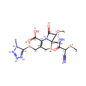 CO[C@]1(NC(=O)C(C#N)SC)C(=O)N2C(C(=O)O)=C(CSc3nnnn3C)CS[C@H]21